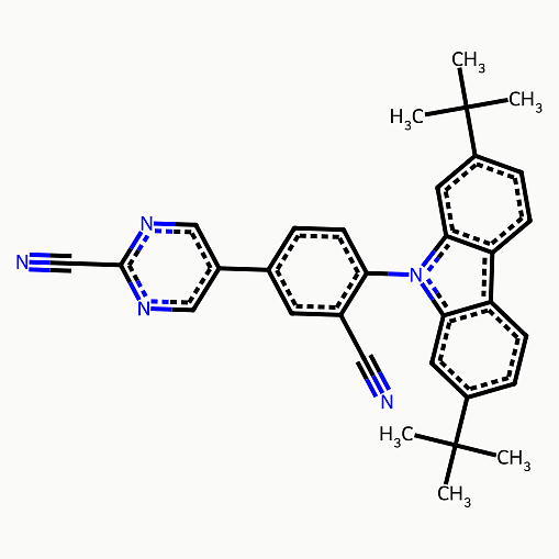 CC(C)(C)c1ccc2c3ccc(C(C)(C)C)cc3n(-c3ccc(-c4cnc(C#N)nc4)cc3C#N)c2c1